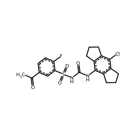 CC(=O)c1ccc(F)c(S(=O)(=O)NC(=O)Nc2c3c(c(Cl)c4c2CCC4)CCC3)c1